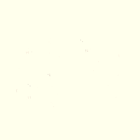 CCN1C(=O)c2c(O)c(=O)c(-c3cnn(Cc4ccc(F)cc4F)c3)cn2[C@H]2COC[C@H]21